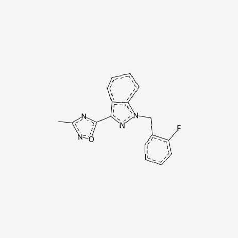 Cc1noc(-c2nn(Cc3ccccc3F)c3ccccc23)n1